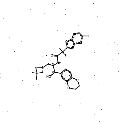 CC1(C)CN(C[C@@H](NC(=O)C(F)(F)c2cc3cc(Cl)ccc3o2)[C@H](O)c2ccc3c(c2)OCCO3)C1